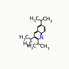 CC(C)c1ccc2nc(C(C)C)c(C(C)C)cc2c1